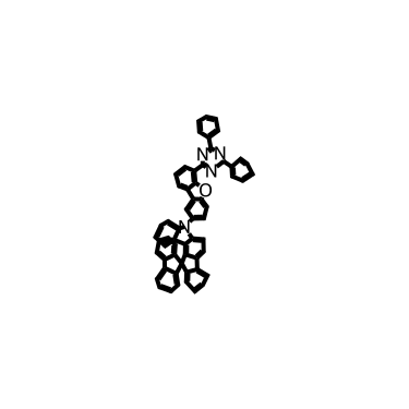 c1ccc(-c2nc(-c3ccccc3)nc(-c3cccc4c3oc3ccc(-n5c6ccccc6c6c7c(ccc65)-c5ccccc5C75c6ccccc6-c6ccccc65)cc34)n2)cc1